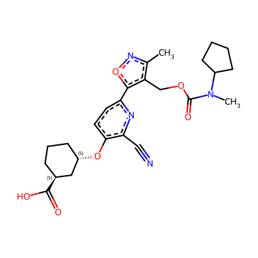 Cc1noc(-c2ccc(O[C@H]3CCC[C@H](C(=O)O)C3)c(C#N)n2)c1COC(=O)N(C)C1CCCC1